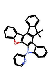 CC1(C)c2ccccc2-c2c1c1c3ccccc3n(-c3ccccn3)c1c1oc3ccccc3c21